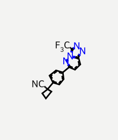 N#CC1(c2ccc(-c3ccc4nnc(C(F)(F)F)n4n3)cc2)CCC1